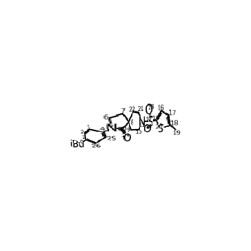 CCC(C)c1ccc(N2CCC3(CCN(S(=O)(=O)c4ccc(C)s4)CC3)C2=O)cc1